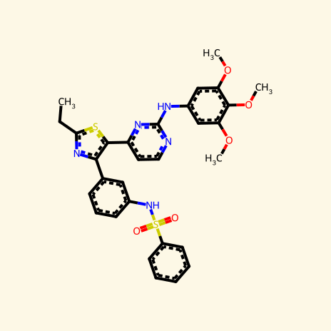 CCc1nc(-c2cccc(NS(=O)(=O)c3ccccc3)c2)c(-c2ccnc(Nc3cc(OC)c(OC)c(OC)c3)n2)s1